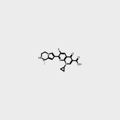 C[C@@H]1NCCn2cc(-c3nc4c(cc3F)c(=O)c(C(=O)O)cn4C3CC3)cc21